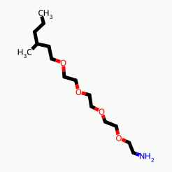 CCCC(C)CCOCCOCCOCCOCCN